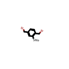 CSc1cc(CBr)ccc1CBr